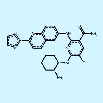 NC(=O)c1cc(F)c(N[C@@H]2CCCC[C@@H]2N)nc1Nc1ccc2nc(-n3nccn3)ccc2c1